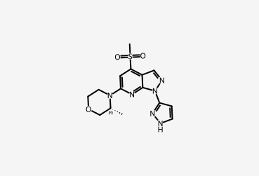 C[C@@H]1COCCN1c1cc(S(C)(=O)=O)c2cnn(-c3cc[nH]n3)c2n1